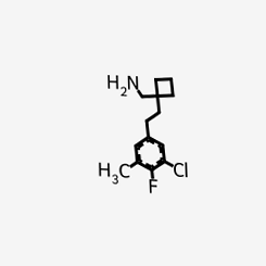 Cc1cc(CCC2(CN)CCC2)cc(Cl)c1F